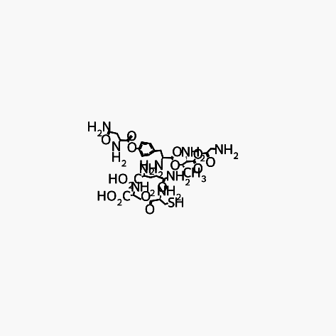 C[C@@H](OC(=O)[C@@H](N)Cc1ccc(OC(=O)[C@@H](N)CC(N)=O)cc1)[C@H](N)C(=O)OC(=O)CN.NC(=O)CC[C@H](N)C(=O)O.N[C@@H](COC(=O)[C@@H](N)CS)C(=O)O